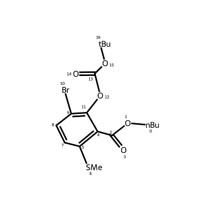 CCCCOC(=O)c1c(SC)ccc(Br)c1OC(=O)OC(C)(C)C